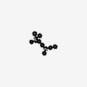 c1ccc(-c2ccc(-c3cc(-c4ccc(-c5ccc6c(c5)cc(-c5ccccc5)n5nc(-c7ccccc7)c(-c7ccccc7)c65)cc4)nc(-c4ccccc4)n3)cc2)cc1